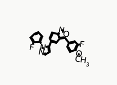 COc1ccc(-c2onc3ccc(-c4ccnn4-c4ccccc4F)cc23)cc1F